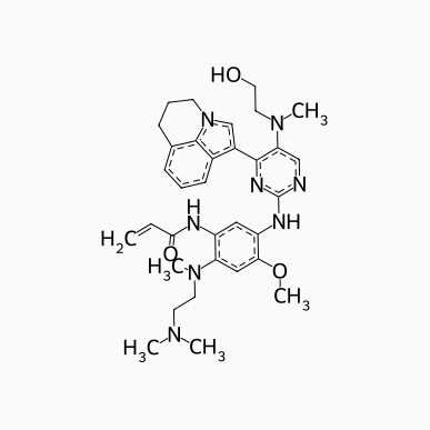 C=CC(=O)Nc1cc(Nc2ncc(N(C)CCO)c(-c3cn4c5c(cccc35)CCC4)n2)c(OC)cc1N(C)CCN(C)C